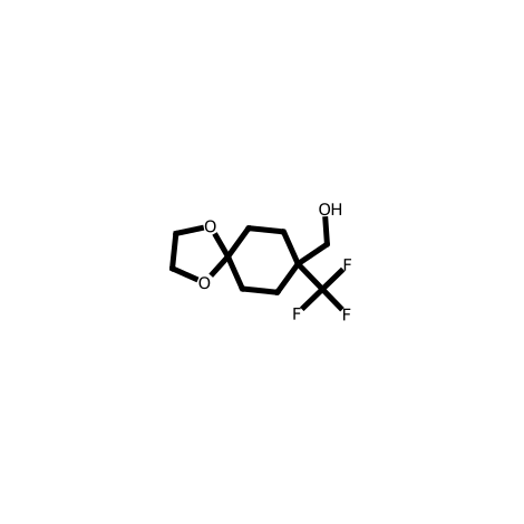 OCC1(C(F)(F)F)CCC2(CC1)OCCO2